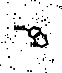 CSc1ccc2c(c1)NCCS2